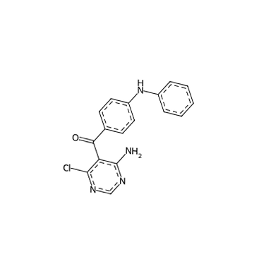 Nc1ncnc(Cl)c1C(=O)c1ccc(Nc2ccccc2)cc1